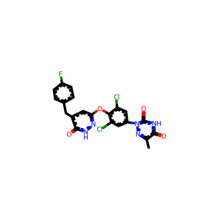 Cc1nn(-c2cc(Cl)c(Oc3cc(Cc4ccc(F)cc4)c(=O)[nH]n3)c(Cl)c2)c(=O)[nH]c1=O